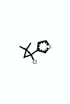 CC1(C)CC1(Cl)c1ccsc1